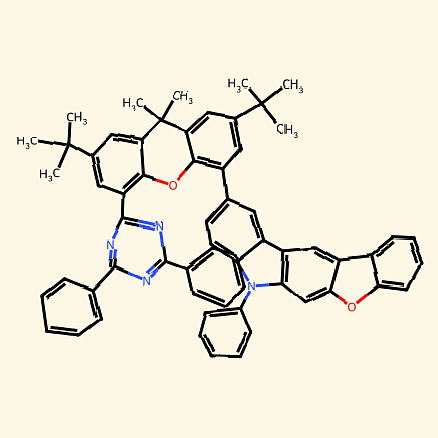 CC(C)(C)c1cc(-c2ccc3c(c2)c2cc4c(cc2n3-c2ccccc2)oc2ccccc24)c2c(c1)C(C)(C)c1cc(C(C)(C)C)cc(-c3nc(-c4ccccc4)nc(-c4ccccc4)n3)c1O2